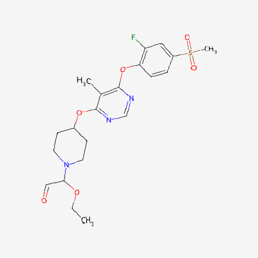 CCOC(C=O)N1CCC(Oc2ncnc(Oc3ccc(S(C)(=O)=O)cc3F)c2C)CC1